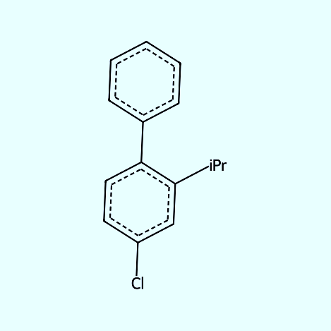 CC(C)c1cc(Cl)ccc1-c1ccccc1